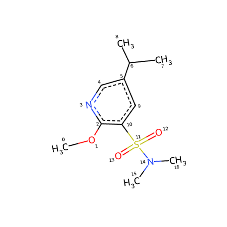 COc1ncc(C(C)C)cc1S(=O)(=O)N(C)C